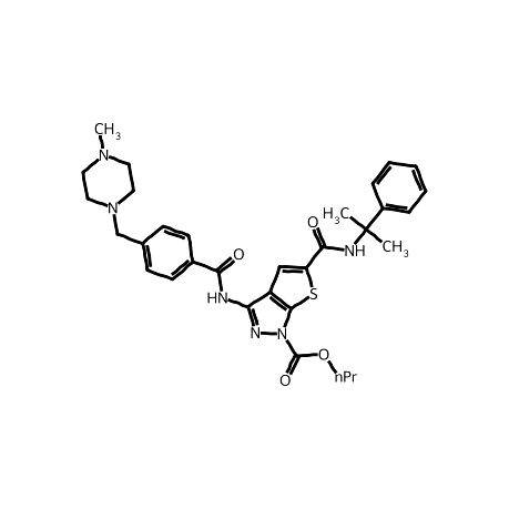 CCCOC(=O)n1nc(NC(=O)c2ccc(CN3CCN(C)CC3)cc2)c2cc(C(=O)NC(C)(C)c3ccccc3)sc21